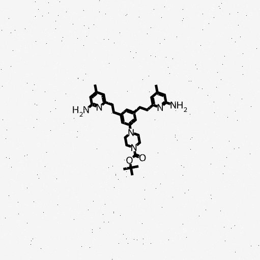 Cc1cc(N)nc(CCc2cc(CCc3cc(C)cc(N)n3)cc(N3CCN(C(=O)OC(C)(C)C)CC3)c2)c1